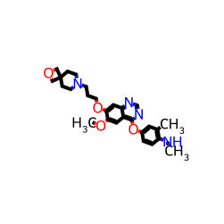 CNc1ccc(Oc2ncnc3cc(OCCCN4CCC5(CC4)COC5)c(OC)cc23)cc1C